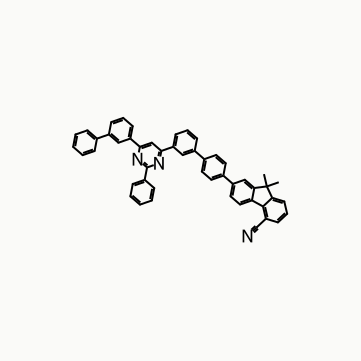 CC1(C)c2cc(-c3ccc(-c4cccc(-c5cc(-c6cccc(-c7ccccc7)c6)nc(-c6ccccc6)n5)c4)cc3)ccc2-c2c(C#N)cccc21